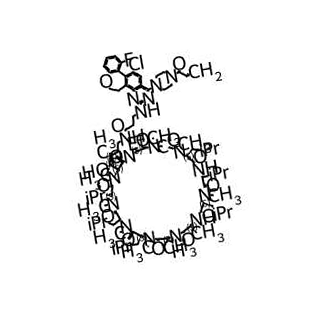 C=CC(=O)N1CCN(c2nc(NCCC(=O)NCC[C@@H](C)[C@@H](O)[C@H]3C(=O)N[C@@H](CC)C(=O)N(C)CC(=O)N(C)[C@@H](CC(C)C)C(=O)NC(C(C)C)C(=O)N(C)[C@@H](CC(C)C)C(=O)N[C@@H](C)C(=O)N[C@H](C)C(=O)N(C)[C@@H](CC(C)C)C(=O)N(C)C(CC(C)C)C(=O)N(C)[C@@H](C(C)C)C(=O)N3C)nc3c4c(c(Cl)cc23)-c2c(F)cccc2OCC4)CC1